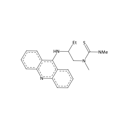 CCC(CN(C)C(=S)NC)Nc1c2ccccc2nc2ccccc12